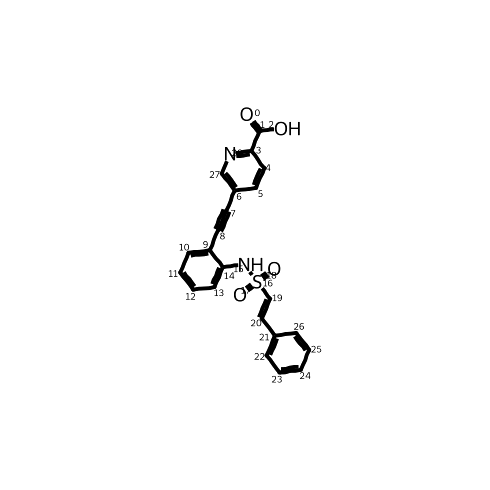 O=C(O)c1ccc(C#Cc2ccccc2NS(=O)(=O)/C=C/c2ccccc2)cn1